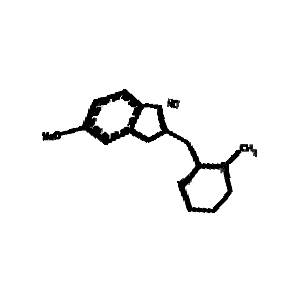 COc1ccc2c(c1)CC(CC1CCCCN1C)=C2.Cl